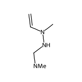 C=CN(C)NCNC